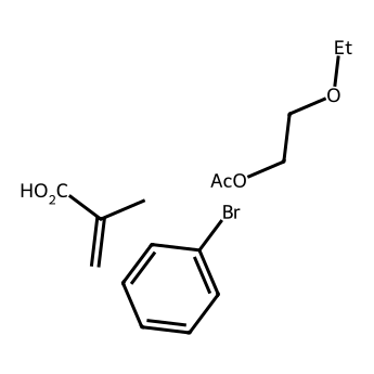 Brc1ccccc1.C=C(C)C(=O)O.CCOCCOC(C)=O